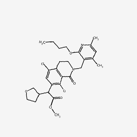 CCCCOc1nc(C)cc(C)c1CN1CCc2c(Cl)cc(C(C(=O)OC)C3CCOC3)c(Cl)c2C1=O